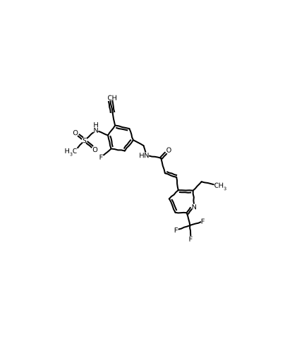 C#Cc1cc(CNC(=O)/C=C/c2ccc(C(F)(F)F)nc2CC)cc(F)c1NS(C)(=O)=O